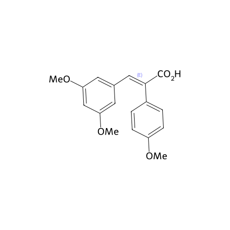 COc1ccc(/C(=C\c2cc(OC)cc(OC)c2)C(=O)O)cc1